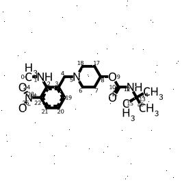 CNc1c(CN2CCC(OC(=O)NC(C)(C)C)CC2)cccc1[N+](=O)[O-]